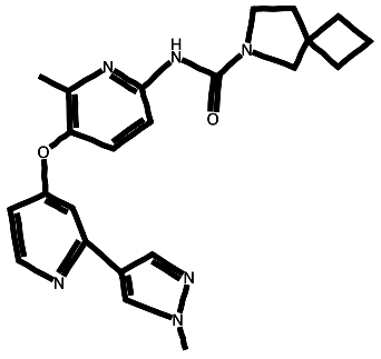 Cc1nc(NC(=O)N2CCC3(CCC3)C2)ccc1Oc1ccnc(-c2cnn(C)c2)c1